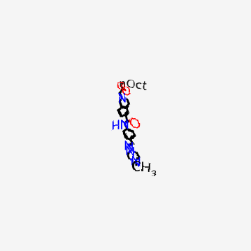 CCCCCCCCOC(=O)CN1CCc2cc(C(=O)Nc3ccc(/C=N/N4CCN(C)CC4)cc3)ccc2C1